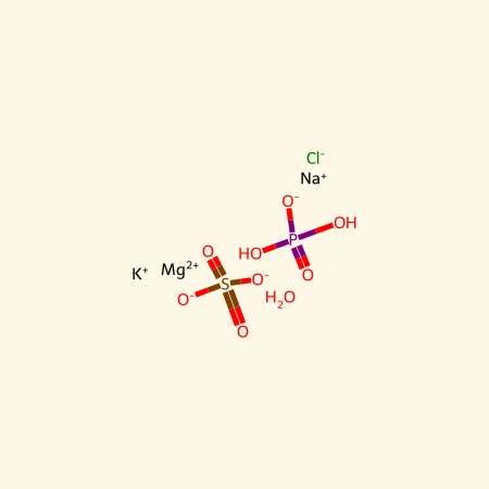 O.O=P([O-])(O)O.O=S(=O)([O-])[O-].[Cl-].[K+].[Mg+2].[Na+]